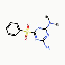 CCN(CC)c1nc(N)nc(S(=O)(=O)c2ccccc2)n1